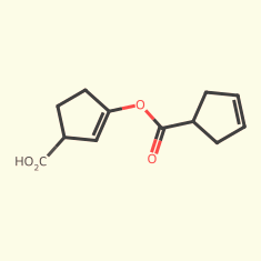 O=C(O)C1C=C(OC(=O)C2CC=CC2)CC1